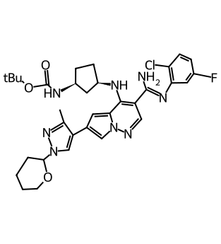 Cc1nn(C2CCCCO2)cc1-c1cc2c(N[C@@H]3CC[C@H](NC(=O)OC(C)(C)C)C3)c(/C(N)=N/c3cc(F)ccc3Cl)cnn2c1